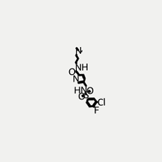 CN(C)CCCNC(=O)c1ccc(CNS(=O)(=O)c2ccc(F)c(Cl)c2)cn1